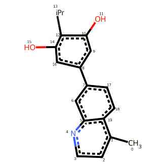 Cc1ccnc2cc(-c3cc(O)c(C(C)C)c(O)c3)ccc12